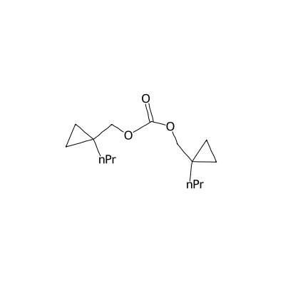 CCCC1(COC(=O)OCC2(CCC)CC2)CC1